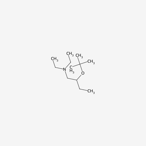 CCC(CN(CC)CC)OC(C)(C)C